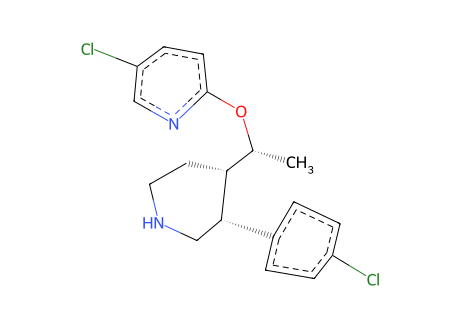 C[C@@H](Oc1ccc(Cl)cn1)[C@H]1CCNC[C@H]1c1ccc(Cl)cc1